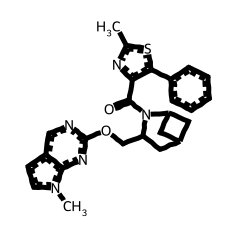 Cc1nc(C(=O)N2C(COc3ncc4ccn(C)c4n3)CC3CC2C3)c(-c2ccccc2)s1